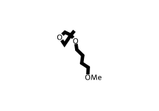 COCCCCOC1(C)COC1